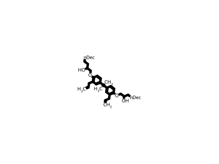 C=CCc1cc(C(C)(C)c2ccc(OCC(O)CCCCCCCCCCCC)c(CC=C)c2)ccc1OCC(O)CCCCCCCCCCC